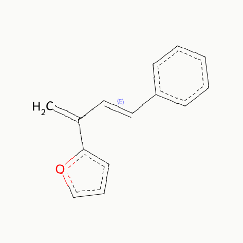 C=C(/C=C/c1ccccc1)c1ccco1